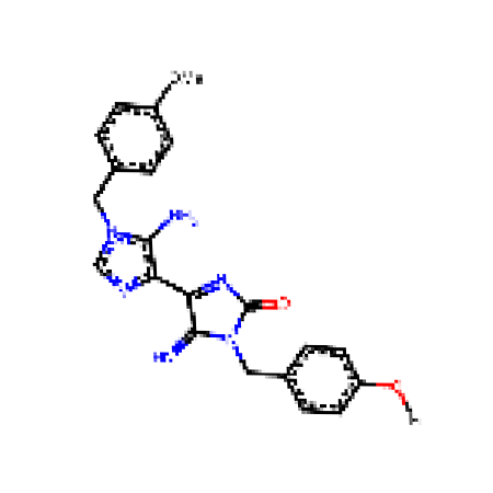 CCOc1ccc(CN2C(=N)C(c3ncn(Cc4ccc(OC)cc4)c3N)=NC2=O)cc1